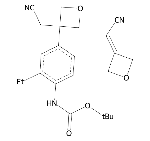 CCc1cc(C2(CC#N)COC2)ccc1NC(=O)OC(C)(C)C.N#CC=C1COC1